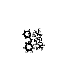 O=S(=O)([N+](=[I+](c1ccccc1)c1ccccc1)S(=O)(=O)C(F)(F)F)C(F)(F)F